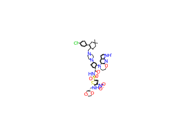 CC1(C)CCC(CN2CCN(c3ccc(C(=O)NS(=O)(=O)c4cc([N+](=O)[O-])c(NC[C@H]5COCCO5)s4)c(N4CCCOc5nc6[nH]ccc6cc54)c3)CC2)=C(c2ccc(Cl)cc2)C1